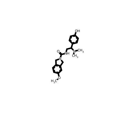 COc1ccc2c(c1)CN(C(=O)NCC(c1ccc(O)cc1)N(C)C)C2